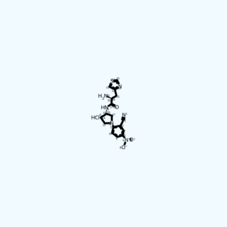 Cl.N#Cc1cc([N+](=O)[O-])ccc1N1CC[C@H](NC(=O)[C@@H](N)Cc2cscn2)C1